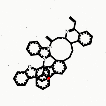 C=CC1=NC2CC(=C)[n+]3c(n(-c4cccc5c4oc4ccccc45)c4ccccc43)-c3c(ccc4c3oc3ccccc34)CCC2c2ccccc21